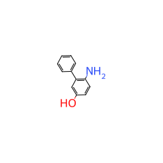 Nc1ccc(O)cc1-c1ccccc1